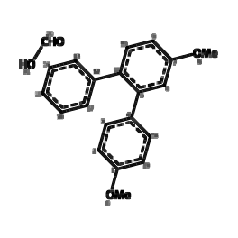 COc1ccc(-c2cc(OC)ccc2-c2ccccc2)cc1.O=CO